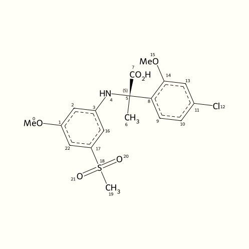 COc1cc(N[C@](C)(C(=O)O)c2ccc(Cl)cc2OC)cc(S(C)(=O)=O)c1